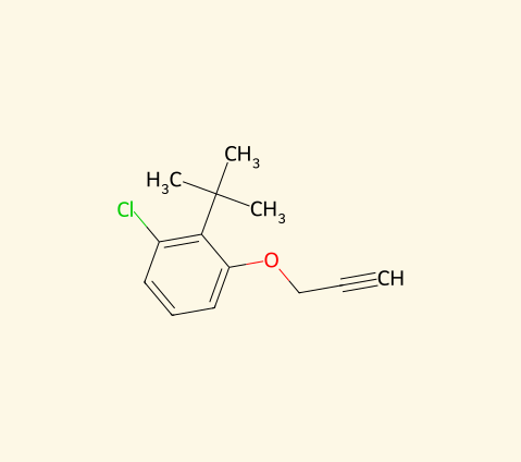 C#CCOc1cccc(Cl)c1C(C)(C)C